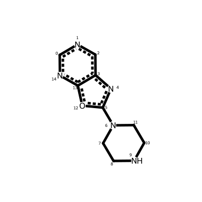 c1ncc2nc(N3CCNCC3)oc2n1